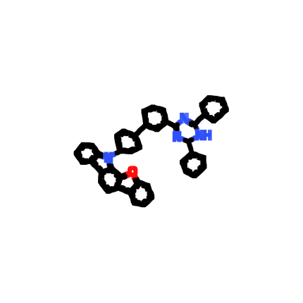 c1ccc(C2=NC(c3cccc(-c4ccc(-n5c6ccccc6c6ccc7c8ccccc8oc7c65)cc4)c3)=NC(c3ccccc3)N2)cc1